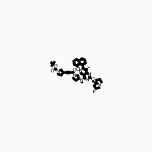 CN(c1nc(OC[C@@]23CCCN2C[C@H](F)C3)nc2c(F)c(-c3cccc4cccc(Cl)c34)ncc12)[C@@H]1CCN(C(=O)C#CC2CCN(C(=O)OC(C)(C)C)C2)C1